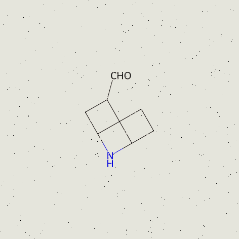 O=CC1CC2NC3CCC132